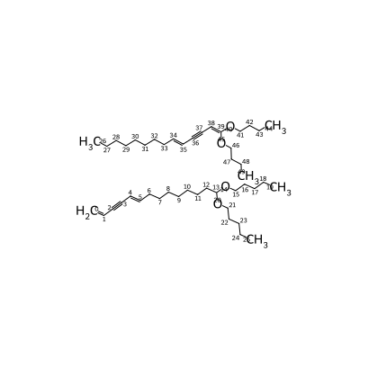 C=CC#C/C=C/CCCCCCCC(OCCCCC)OCCCCC.CCCCCCCC/C=C/C#CC=C(OCCCC)OCCCC